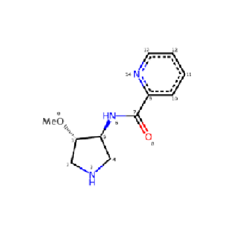 CO[C@H]1CNC[C@@H]1NC(=O)c1ccccn1